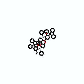 CCc1ccc(C2(c3ccccc3)c3ccccc3-c3ccccc32)c(CC)c1N(c1ccccc1)c1ccc2ccc3c(N(c4ccccc4)c4c(CC)ccc(C5(c6ccccc6)c6ccccc6-c6ccccc65)c4CC)ccc4ccc1c2c43